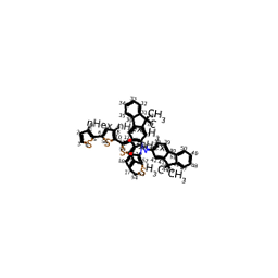 CCCCCCc1ccsc1-c1cc(CCCCCC)c(-c2cc(CCCCCC)c(-c3c4ccc(N(c5ccc6c(c5)C(C)(C)c5ccccc5-6)c5ccc6c(c5)C(C)(C)c5ccccc5-6)c3SC4)s2)s1